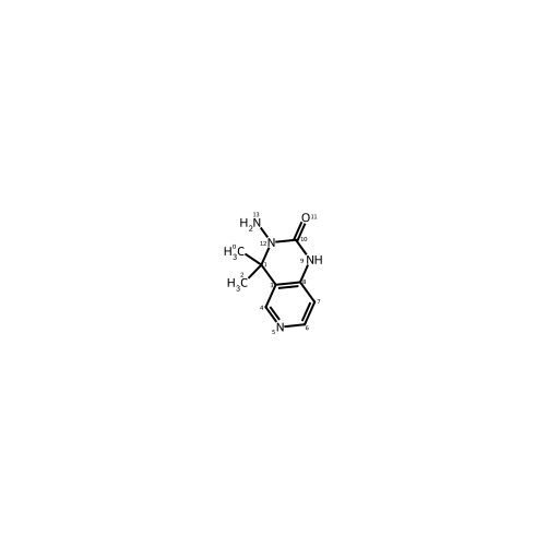 CC1(C)c2cnccc2NC(=O)N1N